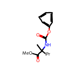 COC(=O)C(C)(NC(=O)Oc1ccccc1)C(C)C